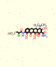 CN(C)[C@@H]1C(O)=C(C(N)=O)C(=O)[C@@]2(O)C(O)=C3C(=O)c4c(ccc(NC(=O)C(Br)CC(=O)O)c4O)CC3CC12